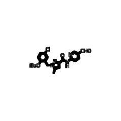 Cc1cc(C(=O)Nc2ccc(C=O)cn2)nn1Cc1cc(Cl)ccc1OCC(C)C